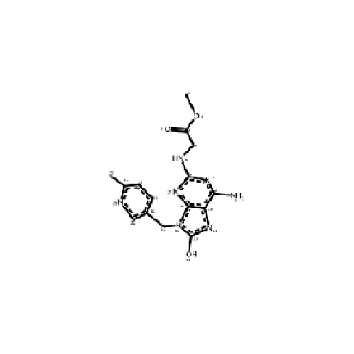 COC(=O)CNc1nc(N)c2nc(O)n(Cc3ccc(C)nc3)c2n1